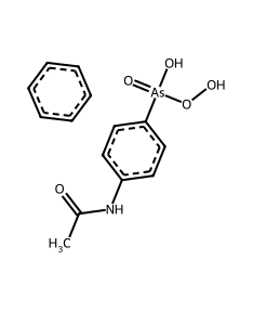 CC(=O)Nc1ccc([As](=O)(O)OO)cc1.c1ccccc1